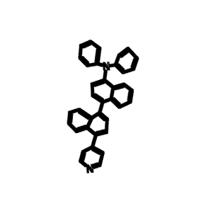 c1ccc(N(c2ccccc2)c2ccc(-c3ccc(-c4ccncc4)c4ccccc34)c3ccccc23)cc1